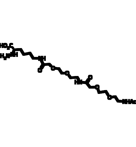 CC(=O)NCCOCCOCC(=O)NCCOCCOCC(=O)NCCCC[C@H](NN)C(=O)O